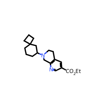 CCOC(=O)c1cnc2c(c1)CCN(C1CCCC3(CCC3)C1)C2